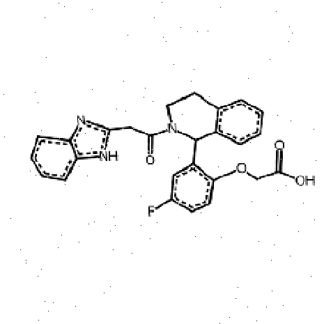 O=C(O)COc1ccc(F)cc1C1c2ccccc2CCN1C(=O)Cc1nc2ccccc2[nH]1